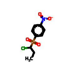 CCC(Cl)S(=O)(=O)c1ccc([N+](=O)[O-])cc1